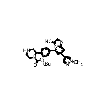 Cn1cc(-c2cc(-c3ccc(C4CNCCN4C(=O)OC(C)(C)C)cc3)n3c(C#N)cnc3c2)cn1